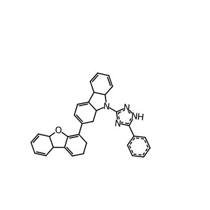 C1=CC2OC3=C(C4=CC=C5C6C=CC=CC6N(c6n[nH]c(-c7ccccc7)n6)C5C4)CCC=C3C2C=C1